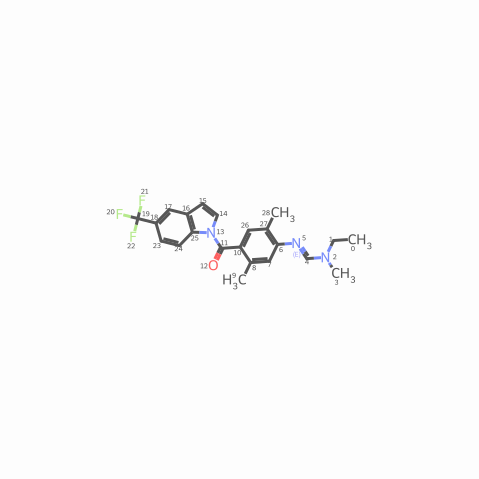 CCN(C)/C=N/c1cc(C)c(C(=O)n2ccc3cc(C(F)(F)F)ccc32)cc1C